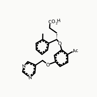 CC(=O)c1ccc(OCc2cncnc2)cc1O[C@@H](CCC(=O)O)c1ccccc1C